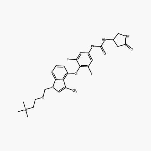 C[Si](C)(C)CCOCn1cc(C(F)(F)F)c2c(Oc3c(F)cc(NC(=O)NC4CNC(=O)C4)cc3F)ccnc21